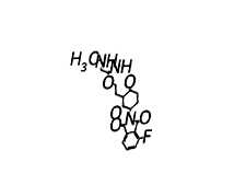 CNCC(=N)OCCC1C(=O)CCC(N2C(=O)c3cccc(F)c3C2=O)C1=O